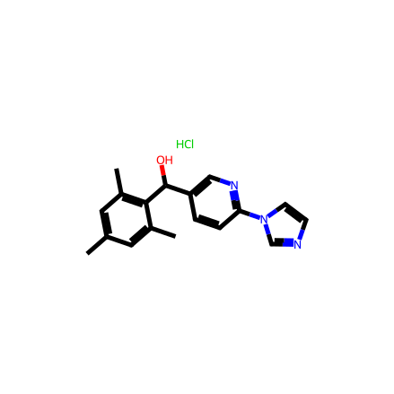 Cc1cc(C)c(C(O)c2ccc(-n3ccnc3)nc2)c(C)c1.Cl